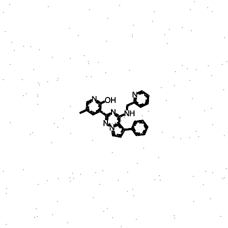 Cc1cnc(O)c(-c2nc(NCc3ccccn3)c3c(-c4ccccc4)ccn3n2)c1